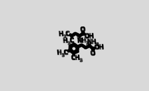 CC(C)C[C@H](N)C(=O)O.Cc1ccc(CCC(N)C(=O)O)cc1C